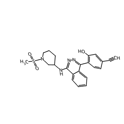 C#Cc1ccc(-c2nnc(NC3CCCN(S(C)(=O)=O)C3)c3ccccc23)c(O)c1